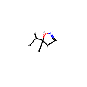 CC(C)C1(C)CC=NO1